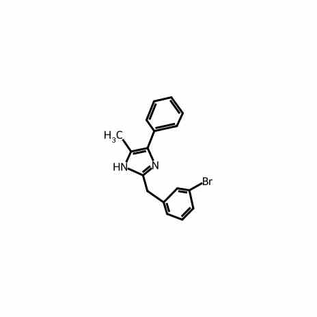 Cc1[nH]c(Cc2cccc(Br)c2)nc1-c1ccccc1